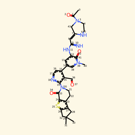 CC(=O)N1CCN/C(=C\C(=N)Nc2cc(-c3ccnc(N4CCc5c(sc6c5CC(C)(C)C6)C4=O)c3C=O)cn(C)c2=O)C1